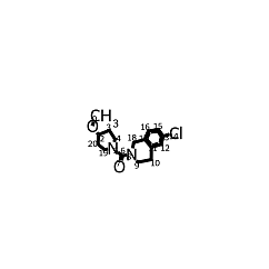 COC1CCN(C(=O)N2CCc3cc(Cl)ccc3C2)CC1